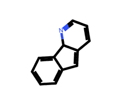 C1=CC2=Cc3ccccc3C2N=C1